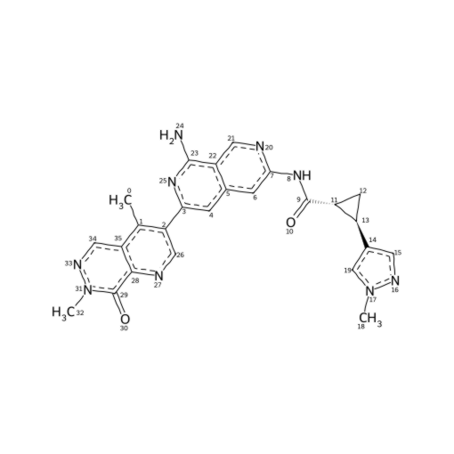 Cc1c(-c2cc3cc(NC(=O)[C@@H]4C[C@H]4c4cnn(C)c4)ncc3c(N)n2)cnc2c(=O)n(C)ncc12